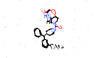 COc1cccc([C@@H](c2ccccc2)C2CCN(C(=O)N3CCC4OCC(=O)N[C@@H]4C3)CC2)c1